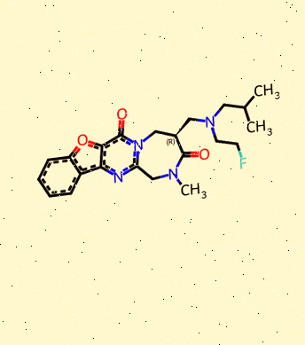 CC(C)CN(CCF)C[C@@H]1Cn2c(nc3c(oc4ccccc43)c2=O)CN(C)C1=O